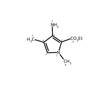 CCOC(=O)c1c(N)c(C)cn1C